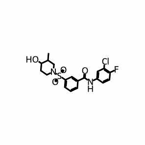 CC1CN(S(=O)(=O)c2cccc(C(=O)Nc3ccc(F)c(Cl)c3)c2)CCC1O